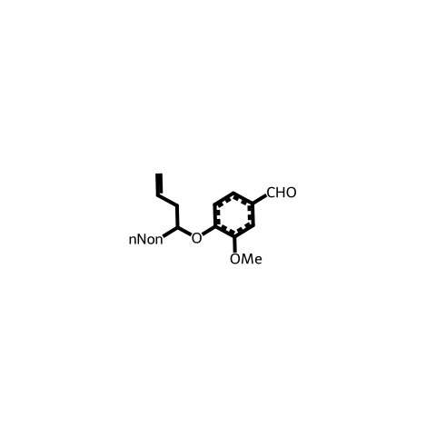 C=CCC(CCCCCCCCC)Oc1ccc(C=O)cc1OC